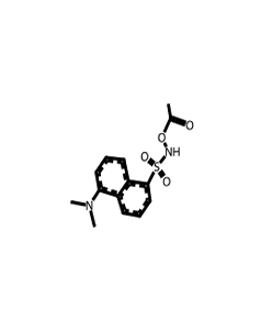 CC(=O)ONS(=O)(=O)c1cccc2c(N(C)C)cccc12